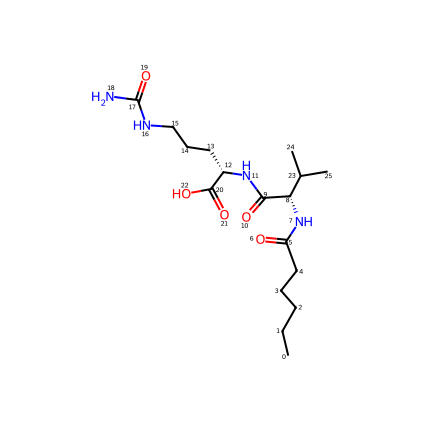 CCCCCC(=O)N[C@H](C(=O)N[C@@H](CCCNC(N)=O)C(=O)O)C(C)C